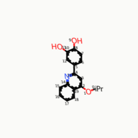 CC(C)Oc1cc(-c2ccc(O)c(O)c2)nc2ccccc12